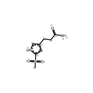 CS(=O)(=O)c1cc([CH]CC(N)=O)c[nH]1